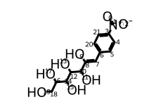 O=[N+]([O-])c1ccc(C=C(O)C(O)C(O)C(O)C(O)CO)cc1